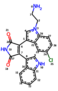 NCCn1cc(C2=C(c3c[nH]c4ccccc34)C(=O)NC2=O)c2cc(Cl)ccc21